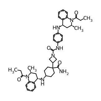 CCC(=O)N1c2ccccc2[C@H](Nc2ccc(NC(=O)N3CC(C4(C(N)=O)CCC(N[C@@H]5C[C@H](C)N(C(=O)CC)c6ccccc65)CC4)C3)cc2)C[C@@H]1C